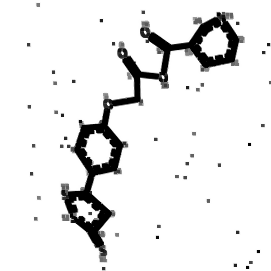 O=C(COc1ccc(-c2cc(=S)ss2)cc1)OC(=O)c1cccnc1